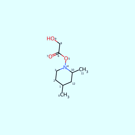 CC1CCN(OC(=O)CO)C(C)C1